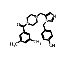 Cc1cc(C)cc(C(=O)N2CCN(Cc3cncn3Cc3ccc(C#N)cc3)CC2)c1